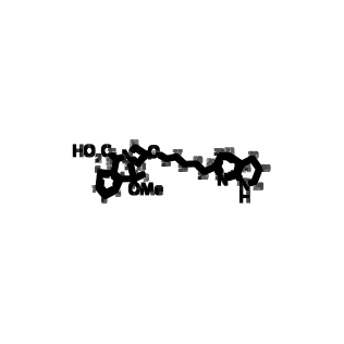 COC(C)(C)c1ccccc1C(C(=O)O)N1CC(OCCCCCc2ccc3c(n2)NCCC3)C1